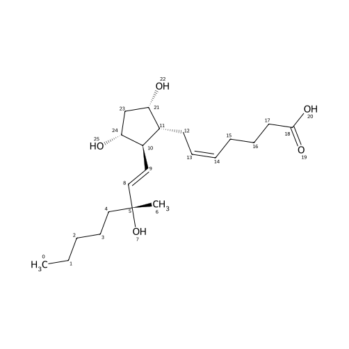 CCCCC[C@@](C)(O)/C=C/[C@@H]1[C@@H](C/C=C\CCCC(=O)O)[C@@H](O)C[C@H]1O